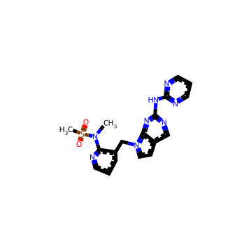 CN(c1ncccc1Cn1ccc2cnc(Nc3ncccn3)nc21)S(C)(=O)=O